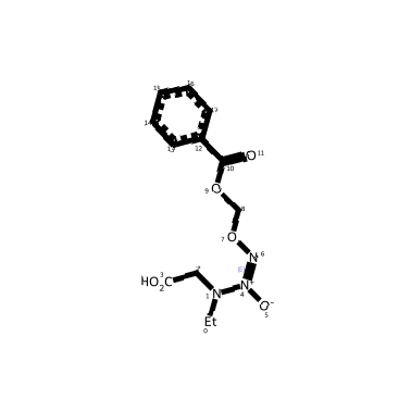 CCN(CC(=O)O)/[N+]([O-])=N\OCOC(=O)c1ccccc1